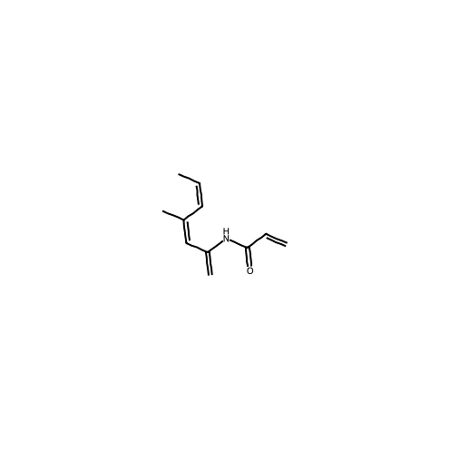 C=CC(=O)NC(=C)/C=C(C)\C=C/C